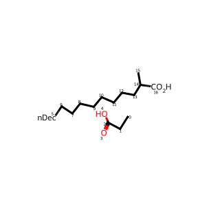 CCC(=O)O.CCCCCCCCCCCCCCCCCCC(C)C(=O)O